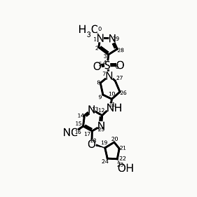 Cn1cc(S(=O)(=O)N2CCC(Nc3ncc(C#N)c(O[C@H]4CC[C@H](O)C4)n3)CC2)cn1